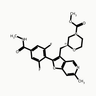 CNC(=O)c1cc(F)c(-c2oc3cc(C)ncc3c2C[C@H]2CN(C(=O)OC)CCO2)c(F)c1